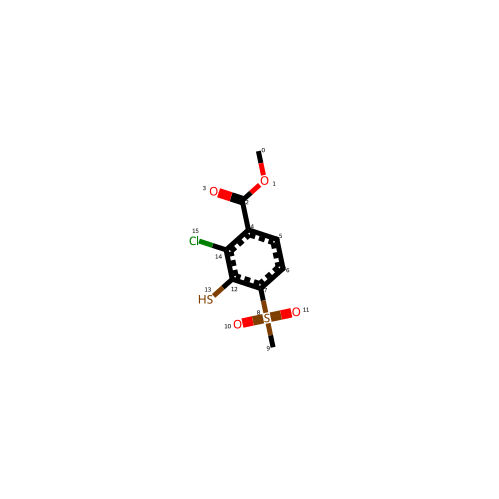 COC(=O)c1ccc(S(C)(=O)=O)c(S)c1Cl